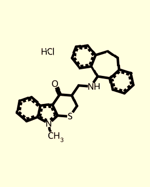 Cl.Cn1c2c(c3ccccc31)C(=O)C(CNC1c3ccccc3CCc3ccccc31)CS2